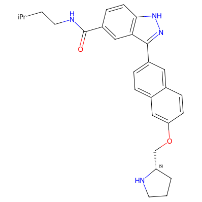 CC(C)CCNC(=O)c1ccc2[nH]nc(-c3ccc4cc(OC[C@@H]5CCCN5)ccc4c3)c2c1